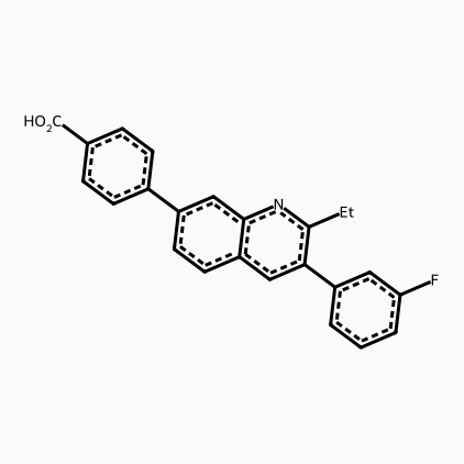 CCc1nc2cc(-c3ccc(C(=O)O)cc3)ccc2cc1-c1cccc(F)c1